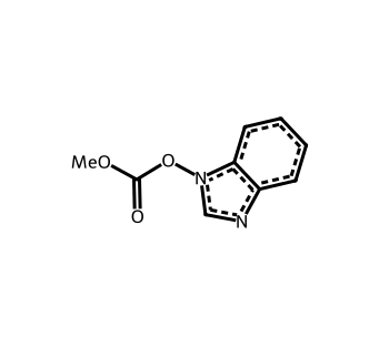 COC(=O)On1cnc2ccccc21